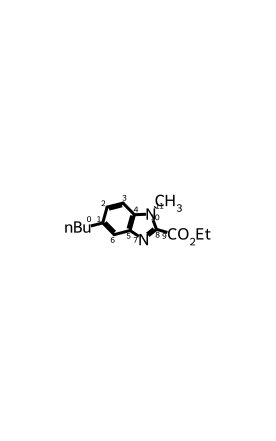 CCCCc1ccc2c(c1)nc(C(=O)OCC)n2C